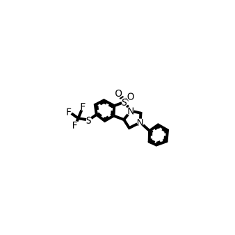 O=S1(=O)c2ccc(SC(F)(F)F)cc2C2CN(c3ccccc3)CN21